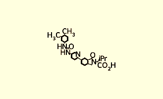 Cc1ccc(NC(=O)Nc2ccc(-c3ccc4c(c3)C(=O)N([C@H](C(=O)O)C(C)C)C4)nc2)cc1C